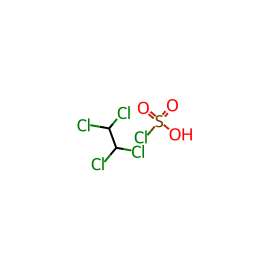 ClC(Cl)C(Cl)Cl.O=S(=O)(O)Cl